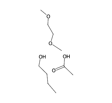 CC(=O)O.CCCCO.COCCOC